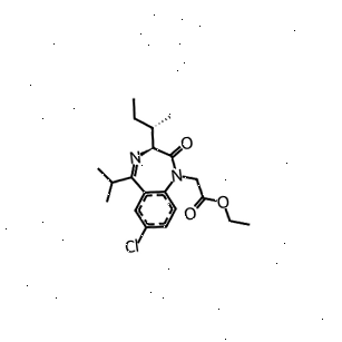 CCOC(=O)CN1C(=O)[C@H]([C@@H](C)CC)N=C(C(C)C)c2cc(Cl)ccc21